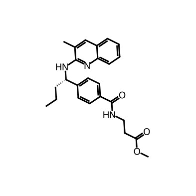 CCC[C@H](Nc1nc2ccccc2cc1C)c1ccc(C(=O)NCCC(=O)OC)cc1